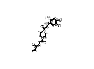 C=CC(=O)NCC(=O)N1CCN(C(=O)CNc2cc(Cl)c(Cl)cc2O)CC1